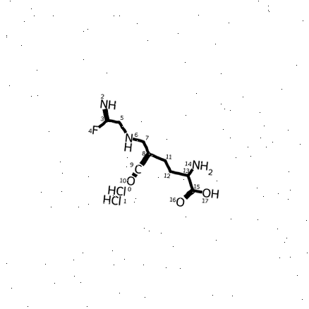 Cl.Cl.N=C(F)CNCC(=C=O)CCC(N)C(=O)O